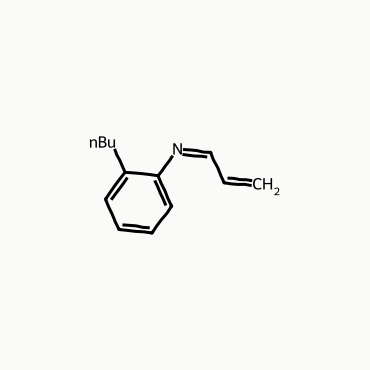 C=C/C=N\c1ccccc1CCCC